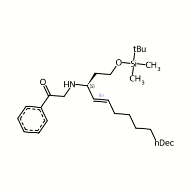 CCCCCCCCCCCCCC/C=C/[C@H](CCO[Si](C)(C)C(C)(C)C)NCC(=O)c1ccccc1